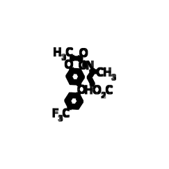 CC(CCC(=O)O)=NOC(=O)C(C)Oc1ccc(Oc2ccc(C(F)(F)F)cc2)cc1